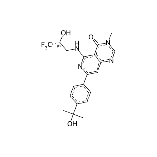 Cn1cnc2cc(-c3ccc(C(C)(C)O)cc3)nc(NC[C@@H](O)C(F)(F)F)c2c1=O